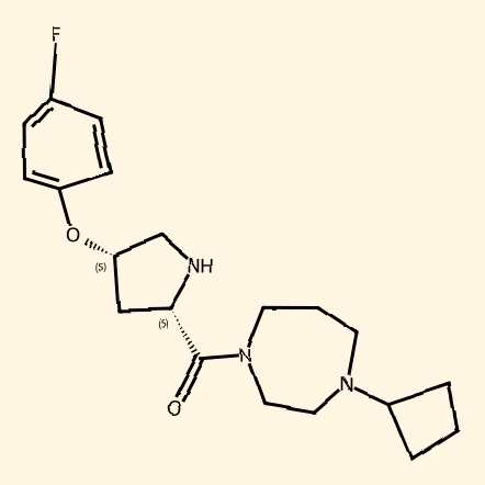 O=C([C@@H]1C[C@H](Oc2ccc(F)cc2)CN1)N1CCCN(C2CCC2)CC1